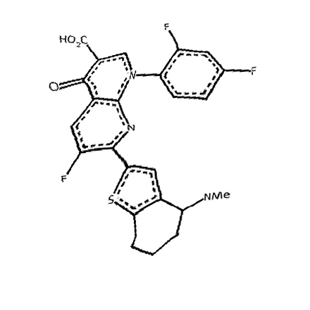 CNC1CCCc2sc(-c3nc4c(cc3F)c(=O)c(C(=O)O)cn4-c3ccc(F)cc3F)cc21